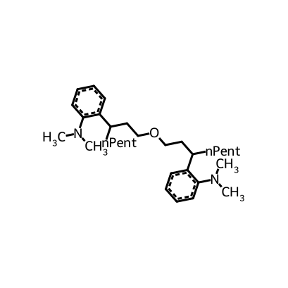 CCCCCC(CCOCCC(CCCCC)c1ccccc1N(C)C)c1ccccc1N(C)C